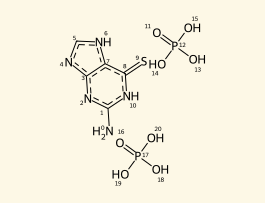 Nc1nc2nc[nH]c2c(=S)[nH]1.O=P(O)(O)O.O=P(O)(O)O